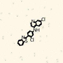 Clc1ccc2c(Nc3ccc(-c4nc5ccccc5s4)c(Cl)c3)ccnc2c1